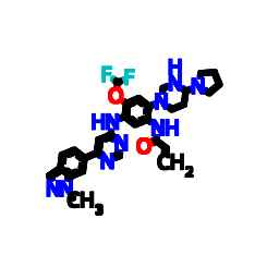 C=CC(=O)Nc1cc(Nc2cc(-c3ccc4cnn(C)c4c3)ncn2)c(OC(F)F)cc1N1CCC(N2CCCC2)NC1